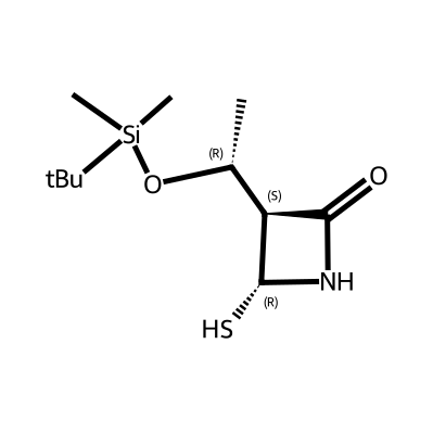 C[C@@H](O[Si](C)(C)C(C)(C)C)[C@H]1C(=O)N[C@@H]1S